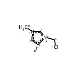 Cn1cc[n+](CCl)c1.[I-]